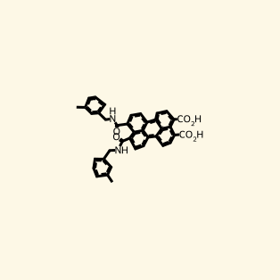 Cc1cccc(CNC(=O)c2ccc3c4ccc(C(=O)O)c5c(C(=O)O)ccc(c6ccc(C(=O)NCc7cccc(C)c7)c2c36)c54)c1